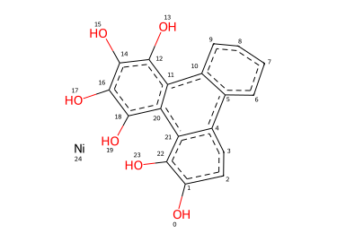 Oc1ccc2c3ccccc3c3c(O)c(O)c(O)c(O)c3c2c1O.[Ni]